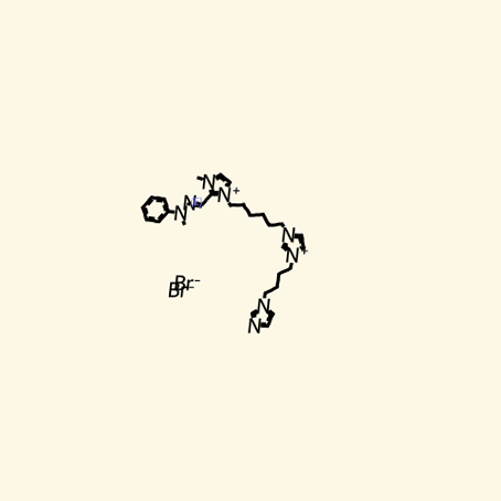 CN(/N=C/c1n(C)cc[n+]1CCCCCCn1cc[n+](CCCCn2ccnc2)c1)c1ccccc1.[Br-].[Br-]